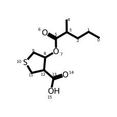 CCCC(C)C(=O)OC1CSCC1C(=O)O